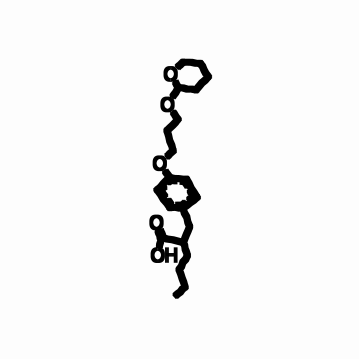 CCCCC(Cc1ccc(OCCCOC2CCCCO2)cc1)C(=O)O